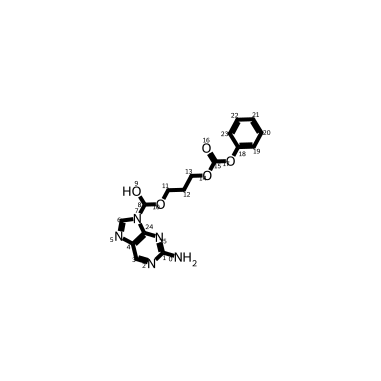 Nc1ncc2ncn(C(O)OCCCOC(=O)Oc3ccccc3)c2n1